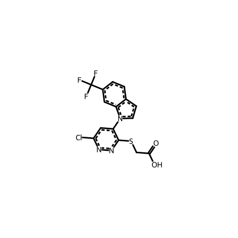 O=C(O)CSc1nnc(Cl)cc1-n1ccc2ccc(C(F)(F)F)cc21